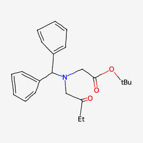 CCC(=O)CN(CC(=O)OC(C)(C)C)C(c1ccccc1)c1ccccc1